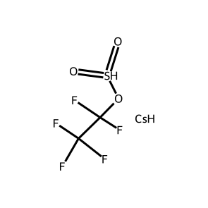 O=[SH](=O)OC(F)(F)C(F)(F)F.[CsH]